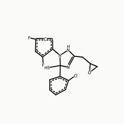 Fc1ccc(N2NC(CC3CO3)=NC2(S)c2ccccc2Cl)c(F)c1